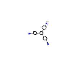 [C-]#[N+]c1ccc(-c2cc(-c3ccc(C#N)cc3)cc(-c3ccc(C#N)cc3)c2)cc1